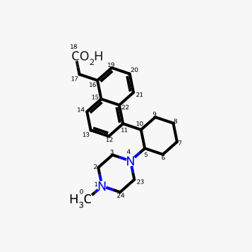 CN1CCN(C2CCCCC2c2cccc3c(CC(=O)O)cccc23)CC1